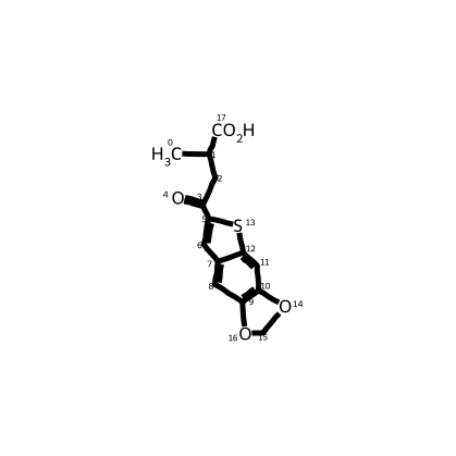 CC(CC(=O)c1cc2cc3c(cc2s1)OCO3)C(=O)O